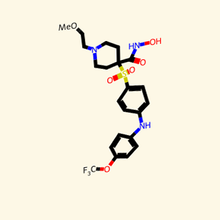 COCCN1CCC(C(=O)NO)(S(=O)(=O)c2ccc(Nc3ccc(OC(F)(F)F)cc3)cc2)CC1